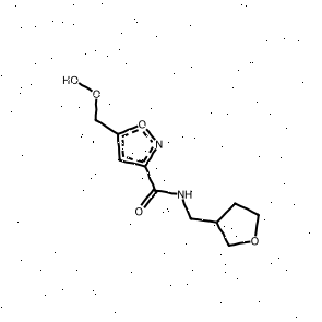 O=C(NCC1CCOC1)c1cc(COO)on1